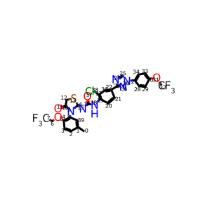 Cc1ccc(OCC(F)(F)F)c(N2C(=O)CS/C2=N\C(=O)Nc2ccc(-c3ncn(-c4ccc(OC(F)(F)F)cc4)n3)cc2Cl)c1